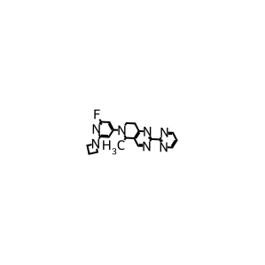 CC1c2cnc(-c3ncccn3)nc2CCN1c1cc(F)nc(N2CCC2)c1